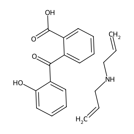 C=CCNCC=C.O=C(O)c1ccccc1C(=O)c1ccccc1O